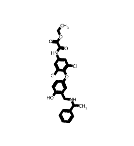 CCOC(=O)C(=O)Nc1cc(Cl)c(Oc2ccc(O)c(CNC(C)c3ccccc3)c2)c(Cl)c1